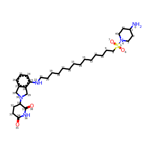 NC1CCN(S(=O)(=O)CCCCCCCCCCCCCCNc2cccc3c2CN(C2CCC(=O)NC2=O)C3)CC1